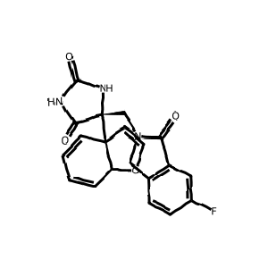 O=C1NC(=O)[C@@](CN2Cc3ccc(F)cc3C2=O)(C23C=CC=CC2OC=C3)N1